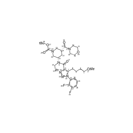 COCCCCc1c(C(=O)N(CC(C)C)[C@H]2C[C@@H](C(=O)N3CCOCC3)CN(C(=O)OC(C)(C)C)C2)nnn1-c1cccc(F)c1F